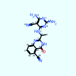 CC(Nc1nc(N)nc(N)c1C#N)c1nc2cccc(C#N)c2c(=O)[nH]1